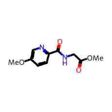 COC(=O)CNC(=O)c1ccc(OC)cn1